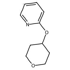 [c]1ccc(OC2CCOCC2)nc1